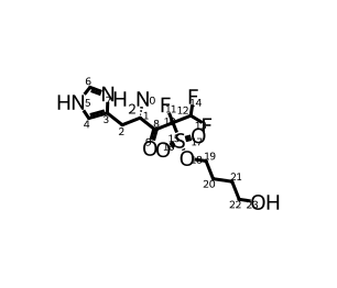 N[C@@H](Cc1c[nH]cn1)C(=O)C(F)(C(F)F)S(=O)(=O)OCCCCO